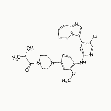 COc1cc(N2CCN(C(=O)C(C)O)CC2)ccc1Nc1ncc(Cl)c(-c2cnc3ccccn23)n1